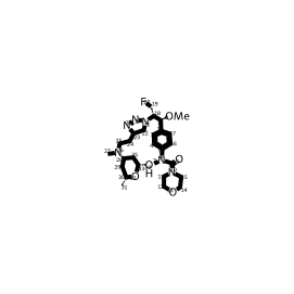 CO[C@H](c1ccc(N(C)C(=O)N2CCOCC2)cc1)[C@@H](CF)N1CC(CCN(C)[C@H]2C[C@@H](C)O[C@@H](O)C2)N=N1